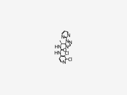 C[C@H](NC(=O)Nc1ccnc(Cl)c1Cl)c1ncnn1-c1ncccn1